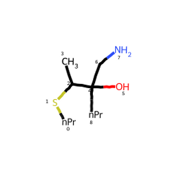 CCCSC(C)C(O)(CN)CCC